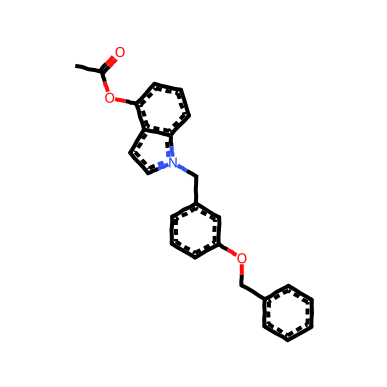 CC(=O)Oc1cccc2c1ccn2Cc1cccc(OCc2ccccc2)c1